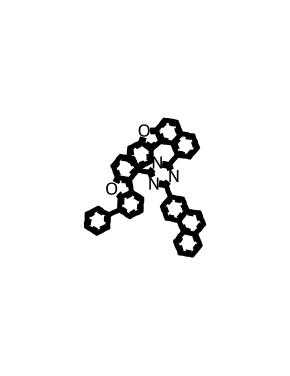 c1ccc(-c2cccc3c2oc2cccc(-c4nc(-c5ccc6c(ccc7ccccc76)c5)nc(-c5cccc6ccc7oc8ccccc8c7c56)n4)c23)cc1